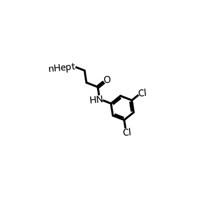 CCCCCCCCCC(=O)Nc1cc(Cl)cc(Cl)c1